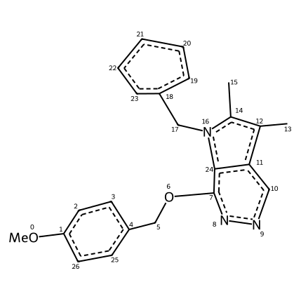 COc1ccc(COc2nncc3c(C)c(C)n(Cc4ccccc4)c23)cc1